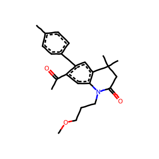 COCCCN1C(=O)CC(C)(C)c2cc(-c3ccc(C)cc3)c(C(C)=O)cc21